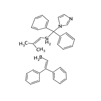 BC=C(c1ccccc1)c1ccccc1.CC(C)=C[SiH2]C(c1ccccc1)(c1ccccc1)n1ccnc1